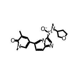 Cc1cc(-c2ccc3ncc([S+]([O-])N(C)C4CCOC4)n3c2)cn(C)c1=O